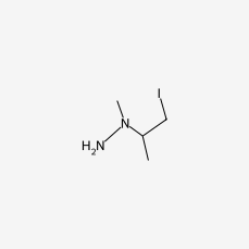 CC(CI)N(C)N